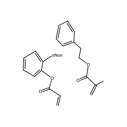 C=C(C)C(=O)OCCc1ccccc1.C=CC(=O)Oc1ccccc1CCCCCCCCC